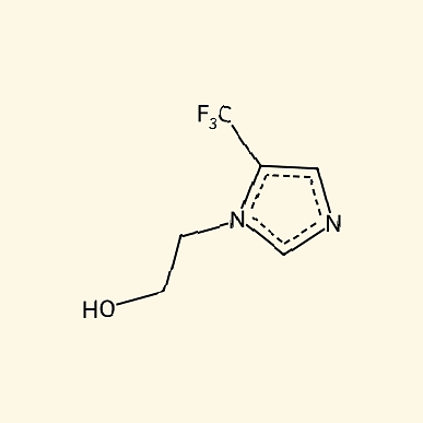 OCCn1cncc1C(F)(F)F